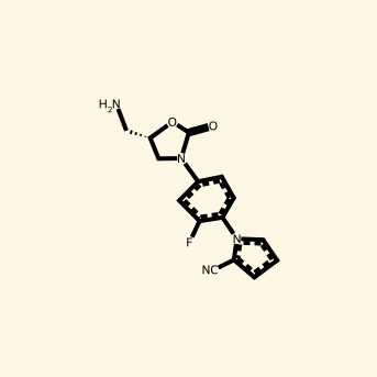 N#Cc1cccn1-c1ccc(N2C[C@H](CN)OC2=O)cc1F